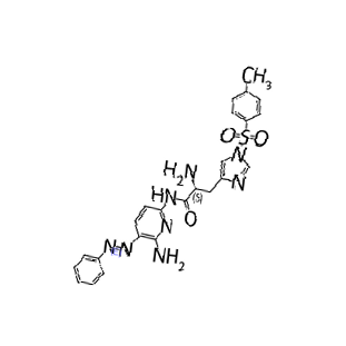 Cc1ccc(S(=O)(=O)n2cnc(C[C@H](N)C(=O)Nc3ccc(/N=N/c4ccccc4)c(N)n3)c2)cc1